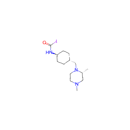 C[C@@H]1CN(C)CCN1C[C@H]1CC[C@H](NC(=O)I)CC1